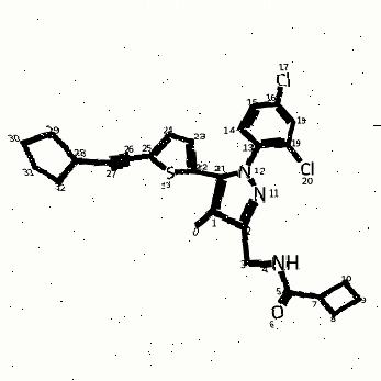 Cc1c(CNC(=O)C2CCC2)nn(-c2ccc(Cl)cc2Cl)c1-c1ccc(C#CC2CCCC2)s1